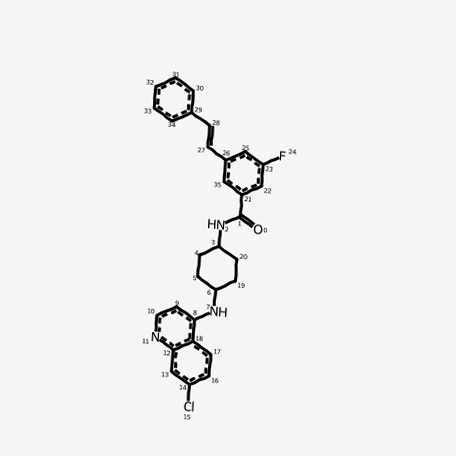 O=C(NC1CCC(Nc2ccnc3cc(Cl)ccc23)CC1)c1cc(F)cc(C=Cc2ccccc2)c1